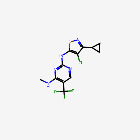 CNc1nc(Nc2snc(C3CC3)c2Cl)ncc1C(F)(F)F